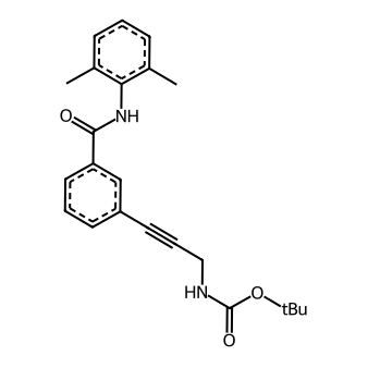 Cc1cccc(C)c1NC(=O)c1cccc(C#CCNC(=O)OC(C)(C)C)c1